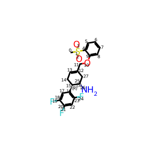 CS(=O)(=O)c1ccccc1OCC1=CC[C@H](c2cc(F)c(F)cc2F)[C@@H](N)C1